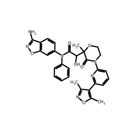 Cc1noc(C)c1-c1cccc(N2CCOC(C)(C(O)C(=O)N(c3ccccc3)c3ccc4c(N)noc4c3)C2=O)n1